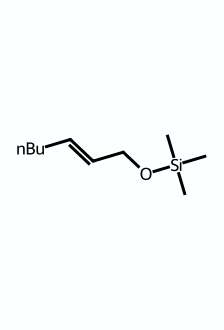 CCCCC=CCO[Si](C)(C)C